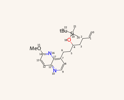 C=CCCC(CCc1ccnc2ccc(OC)nc12)O[Si](C)(C)C(C)(C)C